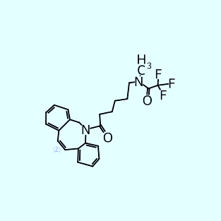 CN(CCCCCC(=O)N1Cc2ccccc2/C=C\c2ccccc21)C(=O)C(F)(F)F